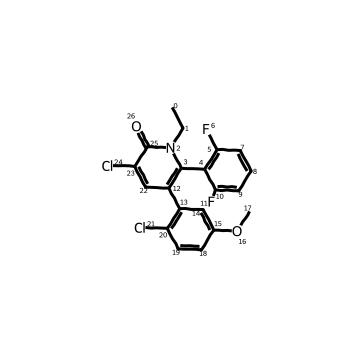 CCn1c(-c2c(F)cccc2F)c(-c2cc(OC)ccc2Cl)cc(Cl)c1=O